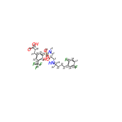 CN(CC(O)CNC(C)(C)CCCc1cc(F)ccc1F)S(=O)(=O)c1cc(CCC(=O)O)cc(C(F)(F)F)c1